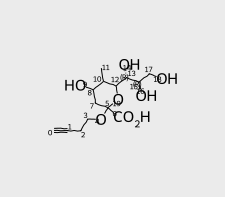 C#CCCOC1(C(=O)O)CC(O)C(C)C([C@H](O)[C@H](O)CO)O1